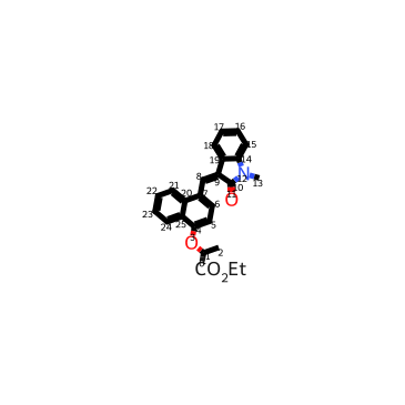 CCOC(=O)C(C)Oc1ccc(/C=C2\C(=O)N(C)c3ccccc32)c2ccccc12